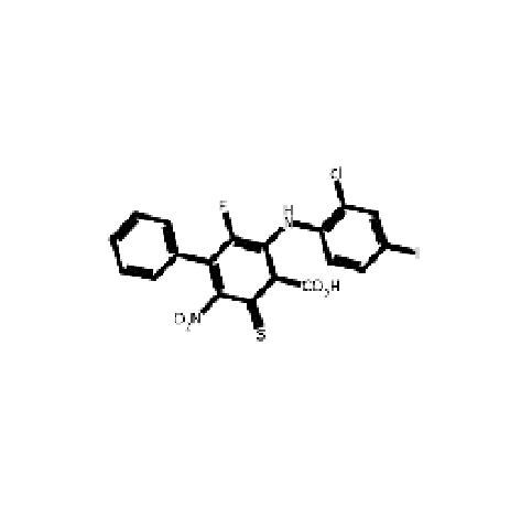 O=C(O)C1C(=S)C([N+](=O)[O-])=C(c2ccccc2)C(F)=C1Nc1ccc(I)cc1Cl